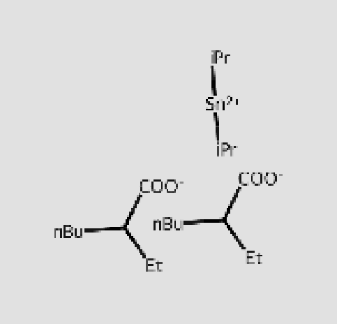 CCCCC(CC)C(=O)[O-].CCCCC(CC)C(=O)[O-].C[CH](C)[Sn+2][CH](C)C